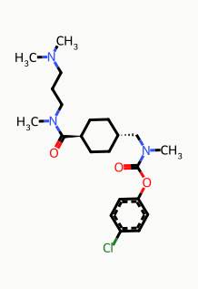 CN(C)CCCN(C)C(=O)[C@H]1CC[C@H](CN(C)C(=O)Oc2ccc(Cl)cc2)CC1